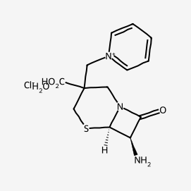 N[C@@H]1C(=O)N2CC(C[n+]3ccccc3)(C(=O)O)CS[C@H]12.O.[Cl-]